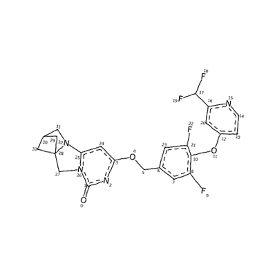 O=c1nc(OCc2cc(F)c(Oc3ccnc(C(F)F)c3)c(F)c2)cc2n1CC13CC(CN21)C3